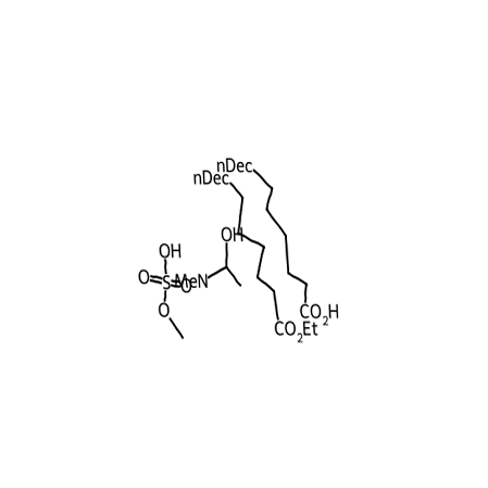 CCCCCCCCCCCCCCCC(=O)O.CCCCCCCCCCCCCCCC(=O)OCC.CNC(C)O.COS(=O)(=O)O